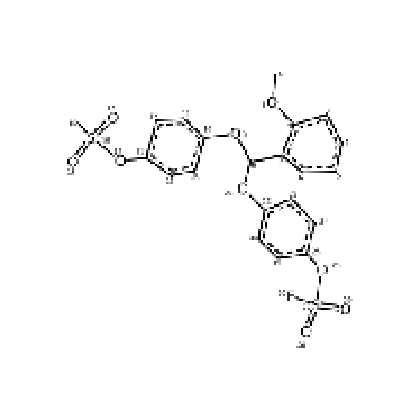 COc1ccccc1C(Oc1ccc(OS(C)(=O)=O)cc1)Oc1ccc(OS(=O)(=O)F)cc1